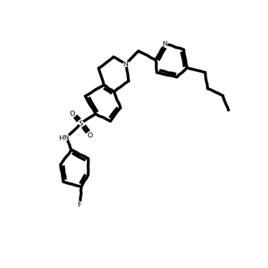 CCCCc1ccc(CN2CCc3cc(S(=O)(=O)Nc4ccc(F)cc4)ccc3C2)nc1